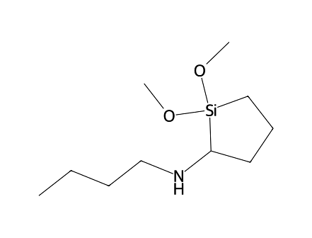 CCCCNC1CCC[Si]1(OC)OC